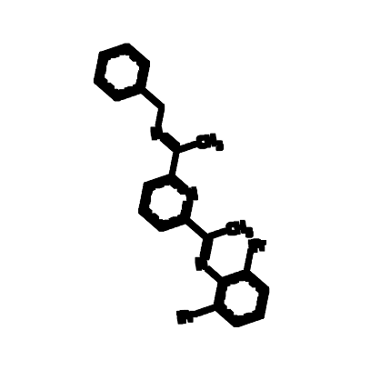 C/C(=N\Cc1ccccc1)c1cccc(/C(C)=N/c2c(C(C)C)cccc2C(C)C)n1